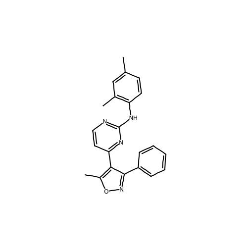 Cc1ccc(Nc2nccc(-c3c(-c4ccccc4)noc3C)n2)c(C)c1